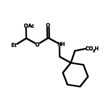 CCC(OC(C)=O)OC(=O)NCC1(CC(=O)O)CCCCC1